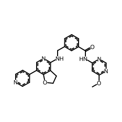 COc1cc(NC(=O)c2cccc(CNc3ncc(-c4ccncc4)c4c3CCO4)c2)ncn1